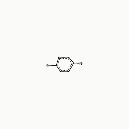 [N]c1ccc([N])cc1